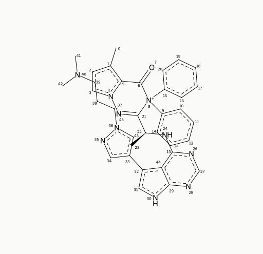 Cc1ccn2c1C(=O)[N+](c1ccccc1)(c1ccccc1)C([C@H](C)Nc1ncnc3[nH]cc(-c4cnn(CCCN(C)C)c4)c13)=N2